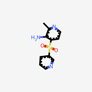 Cc1nccc(S(=O)(=O)c2cccnc2)c1N